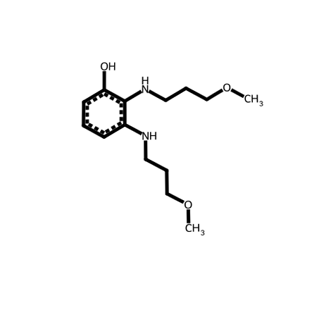 COCCCNc1cccc(O)c1NCCCOC